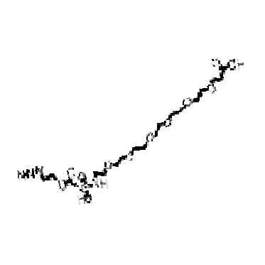 [N-]=[N+]=NCCOC(=O)NS(=O)(=O)NCCOCCOCCOCCOCCOCCOCCC(=O)O